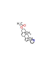 CC(=O)OC1CCC2(C)C(=CCC3C4=CC=C(c5cccnc5)C4(C)CCC32)C1